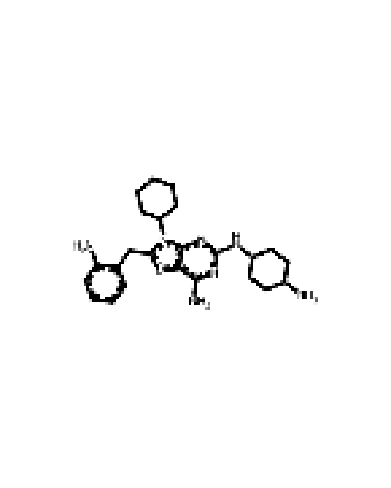 Nc1ccccc1Cc1nc2c(N)nc(NC3CCC(N)CC3)nc2n1C1CCCCC1